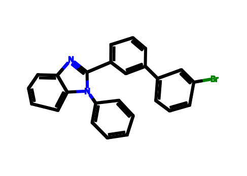 Brc1cccc(-c2cccc(-c3nc4ccccc4n3-c3ccccc3)c2)c1